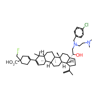 C=C(C)[C@@H]1CC[C@]2(C(O)CN(CCN(C)C)Cc3ccc(Cl)cc3)CC[C@]3(C)[C@H](CC[C@@H]4[C@@]5(C)CC=C(C6=CC[C@](CF)(C(=O)O)CC6)C(C)(C)[C@@H]5CC[C@]43C)[C@@H]12